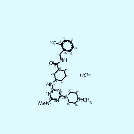 CNc1nc(NC2CCCC(C(=O)NCc3ccccc3F)C2)nc(N2CCN(C)CC2)n1.Cl